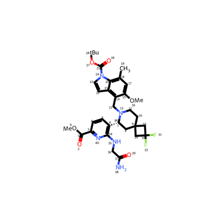 COC(=O)c1ccc([C@H]2CC3(CCN2Cc2c(OC)cc(C)c4c2ccn4C(=O)OC(C)(C)C)CC(F)(F)C3)c(NCC(N)=O)n1